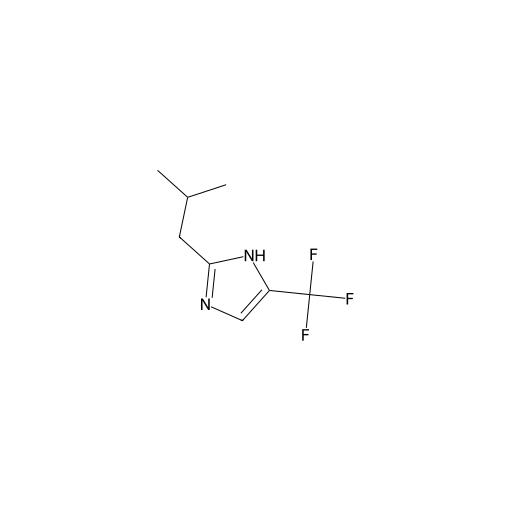 CC(C)Cc1ncc(C(F)(F)F)[nH]1